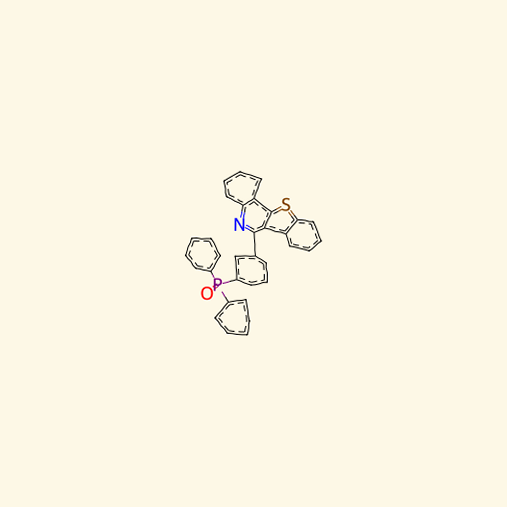 O=P(c1ccccc1)(c1ccccc1)c1cccc(-c2nc3ccccc3c3sc4ccccc4c23)c1